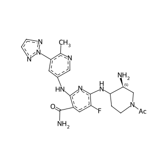 CC(=O)N1CCC(Nc2nc(Nc3cnc(C)c(-n4nccn4)c3)c(C(N)=O)cc2F)[C@@H](N)C1